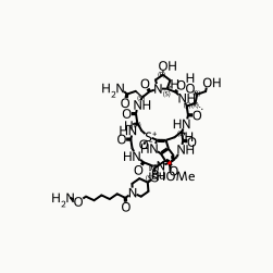 CC[C@H](C)[C@@H]1NC(=O)CNC(=O)[C@@H]2Cc3c([nH]c4c(CSC5CCN(C(=O)CCCCCON)CC5)c(OC)ccc34)[S+]([O-])C[C@H](NC(=O)CNC1=O)C(=O)N[C@@H](CC(N)=O)C(=O)N1C[C@H](O)C[C@H]1C(=O)N[C@@H]([C@@H](C)[C@@H](O)CO)C(=O)N2